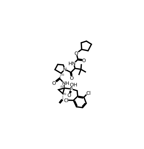 C=C[C@@H]1C[C@]1(NC(=O)[C@@H]1CCCN1C(=O)C(NC(=O)OC1CCCC1)C(C)(C)C)P(=O)(O)Cc1c(Cl)cccc1Cl